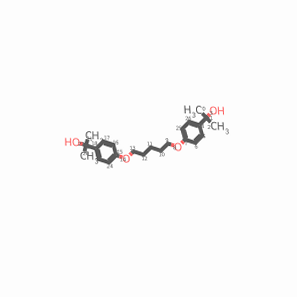 CC(C)(O)c1ccc(OCCCCCOc2ccc(C(C)(C)O)cc2)cc1